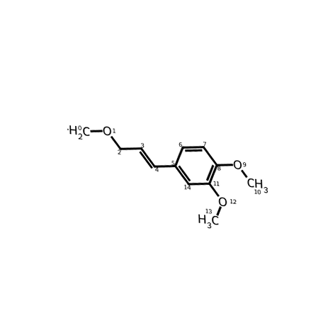 [CH2]OC/C=C/c1ccc(OC)c(OC)c1